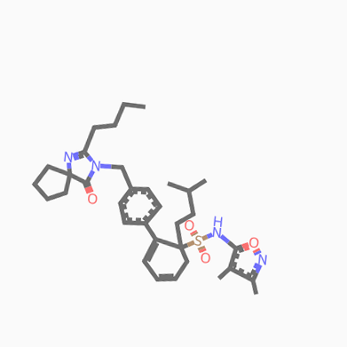 CCCCC1=NC2(CCCC2)C(=O)N1Cc1ccc(C2=CC=CCC2(CCC(C)C)S(=O)(=O)Nc2onc(C)c2C)cc1